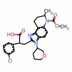 COC(=O)N1c2ccc3c(nc(CC(C(=O)O)c4cccc(Cl)c4)n3C3CCCOC3)c2CCC1C